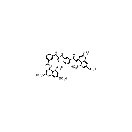 O=C(Nc1cccc(C(=O)N=C2C=C(S(=O)(=O)O)CC3=CC(S(=O)(=O)O)=CC(S(=O)(=O)O)C32)c1)Nc1cccc(C(=O)N=C2C=C(S(=O)(=O)O)CC3=CC(S(=O)(=O)O)=CC(S(=O)(=O)O)C32)c1